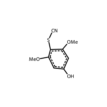 COc1cc(O)cc(OC)c1SC#N